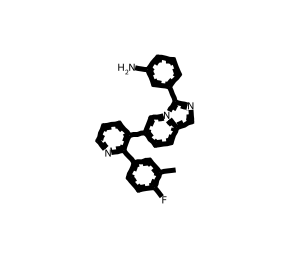 Cc1cc(-c2ncccc2-c2ccc3cnc(-c4cccc(N)c4)n3c2)ccc1F